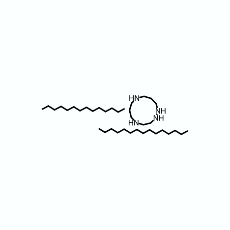 C1CNCCCNNCCNC1.CCCCCCCCCCCCCC.CCCCCCCCCCCCCCC